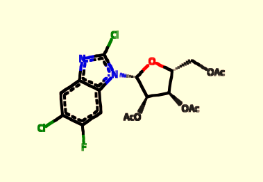 CC(=O)OC[C@H]1O[C@@H](n2c(Cl)nc3cc(Cl)c(F)cc32)[C@H](OC(C)=O)[C@@H]1OC(C)=O